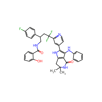 CC1(C)Cc2[nH]c(-c3ccnc(C(F)(F)CC(CNC(=O)c4ccccc4O)c4ccc(F)cc4)c3)c(Nc3ccccc3)c2C(=O)N1